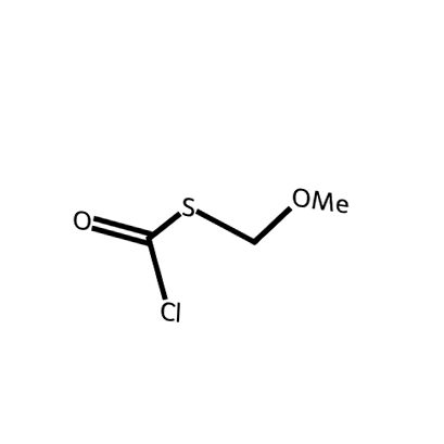 COCSC(=O)Cl